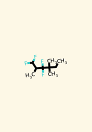 CCC(C)(C)C(F)(F)C(C)C(F)F